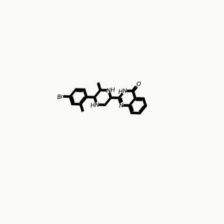 Cc1cc(Br)ccc1C1NCC(c2nc3ccccc3c(=O)[nH]2)NC1C